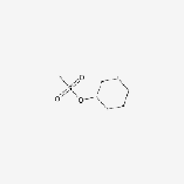 CS(=O)(=O)OC1C[CH]CCC1